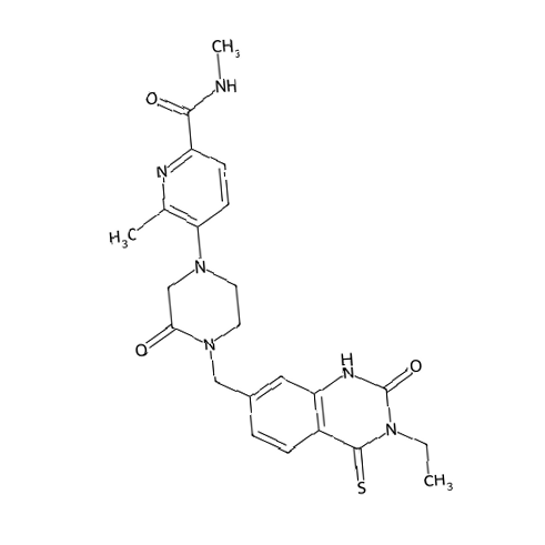 CCn1c(=O)[nH]c2cc(CN3CCN(c4ccc(C(=O)NC)nc4C)CC3=O)ccc2c1=S